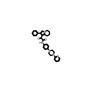 O=C(Nc1ccc(N2CCN(c3ccccn3)CC2)cc1)C(=O)c1c(-c2ccccc2)cn2c1CCCC2